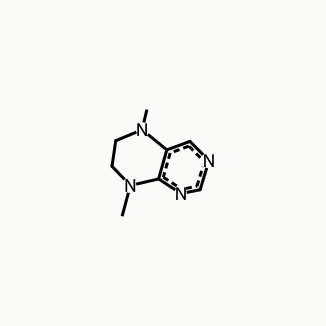 CN1CCN(C)c2ncncc21